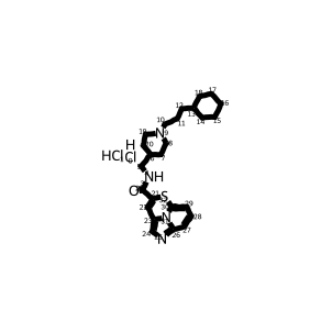 Cl.Cl.O=C(NCC1CCN(CCCC2CCCCC2)CC1)C1=Cc2cnc3cccc(n23)S1